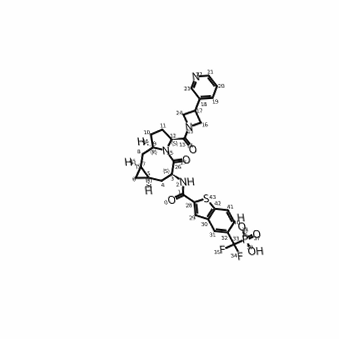 O=C(N[C@H]1C[C@H]2C[C@H]2C[C@H]2CC[C@@H](C(=O)N3CC(c4cccnc4)C3)N2C1=O)c1cc2cc(C(F)(F)P(=O)(O)O)ccc2s1